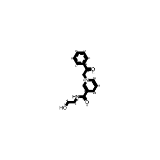 O=C(NCCO)C1=CN(CC(=O)c2ccccc2)C=CC1